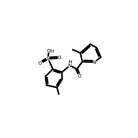 Cc1ccc(S(=O)(=O)O)c(NC(=O)c2ncccc2C)c1